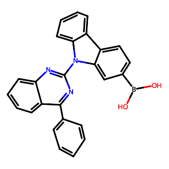 OB(O)c1ccc2c3ccccc3n(-c3nc(-c4ccccc4)c4ccccc4n3)c2c1